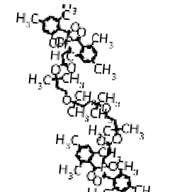 Cc1cc(C)c(C(=O)P(=O)(CCC(=O)OC(C)(C)CCOC(C)(C)CCC(C)(C)OCCC(C)(C)OC(=O)CCP(=O)(C(=O)c2c(C)cc(C)cc2C)C(=O)c2c(C)cc(C)cc2C)C(=O)c2c(C)cc(C)cc2C)c(C)c1